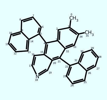 Cc1cc2c(-c3cccc4ccccc34)c3ccncc3c(-c3cccc4ccccc34)c2cc1C